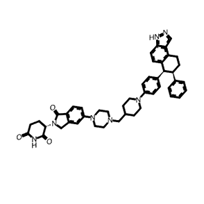 O=C1CC[C@H](N2Cc3cc(N4CCN(CC5CCN(c6ccc([C@H]7c8ccc9[nH]ncc9c8CC[C@H]7c7ccccc7)cc6)CC5)CC4)ccc3C2=O)C(=O)N1